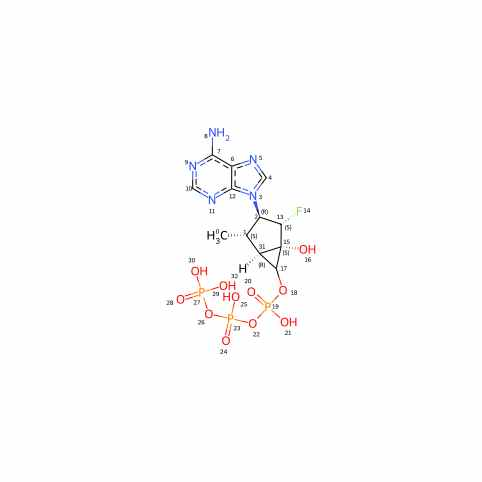 C[C@@H]1[C@@H](n2cnc3c(N)ncnc32)[C@H](F)[C@@]2(O)C(OP(=O)(O)OP(=O)(O)OP(=O)(O)O)[C@@H]12